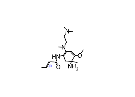 C/C=C/C(=O)NC1=C(N(C)CCN(C)C)C=C(OC)C(C)(N)C1